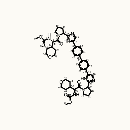 COC(=O)N[C@H](C(=O)N1CCCC1c1ncc(-c2ccc(-c3ccc(-c4cnc(C5CCCN5C(=O)[C@@H](NC(=O)OC)C5CCOCC5)[nH]4)cc3)cc2)[nH]1)C1CCOCC1